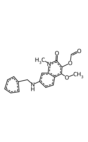 COc1c(OC=O)c(=O)n(C)c2cc(NCc3ccccc3)ccc12